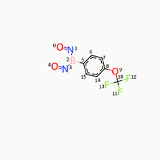 O=NB(N=O)c1ccc(OC(F)(F)F)cc1